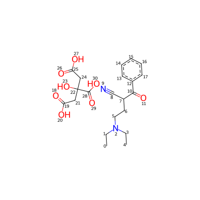 CCN(CC)CCC(C#N)C(=O)c1ccccc1.O=C(O)CC(O)(CC(=O)O)C(=O)O